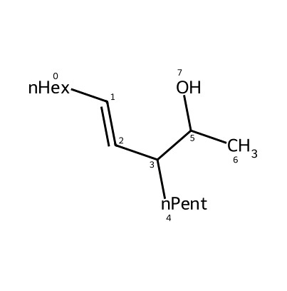 CCCCCCC=CC(CCCCC)C(C)O